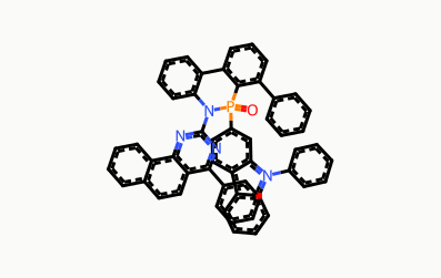 O=P1(c2ccc3c4ccccc4n(-c4ccccc4)c3c2)c2c(-c3ccccc3)cccc2-c2ccccc2N1c1nc(-c2ccccc2)c2ccc3ccccc3c2n1